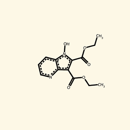 CCOC(=O)c1c(C(=O)OCC)n(O)c2cccnc12